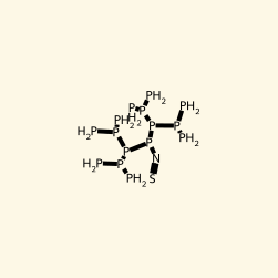 PP(P)P(P(P)P)P(N=S)P(P(P)P)P(P)P